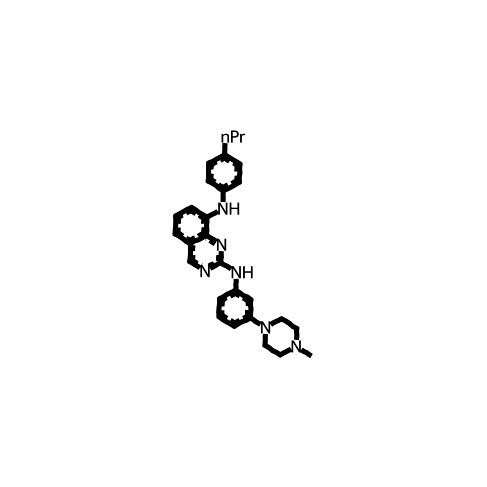 CCCc1ccc(Nc2cccc3cnc(Nc4cccc(N5CCN(C)CC5)c4)nc23)cc1